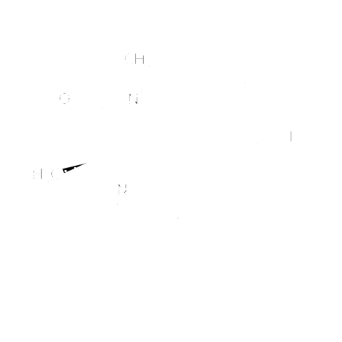 C[C@@H]1N=C(c2ccccc2)c2cc(I)ccc2N(C)C1=O